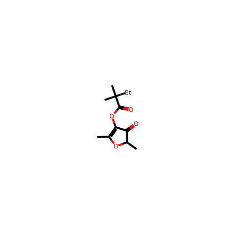 CCC(C)(C)C(=O)OC1=C(C)OC(C)C1=O